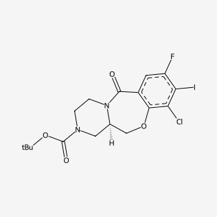 CC(C)(C)OC(=O)N1CCN2C(=O)c3cc(F)c(I)c(Cl)c3OC[C@H]2C1